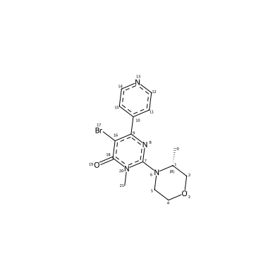 C[C@@H]1COCCN1c1nc(-c2ccncc2)c(Br)c(=O)n1C